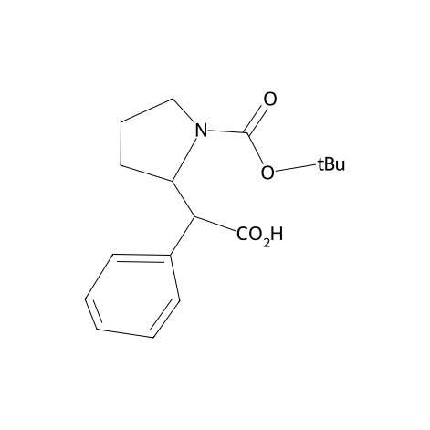 CC(C)(C)OC(=O)N1CCCC1C(C(=O)O)c1ccccc1